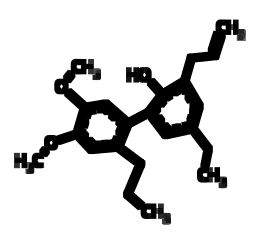 C=CCc1cc(CC)cc(-c2cc(OC)c(OC)cc2CCC)c1O